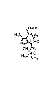 CON=C(C)c1c(C)sc(C)c1C(C1=NOC(C)(C)C1)[SH](=O)=O